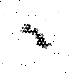 C=CN(CCNC(=C)CCC(=C)Nc1cccc2c(C(=C)NCC)ccnc12)C(=C)/C=C\C